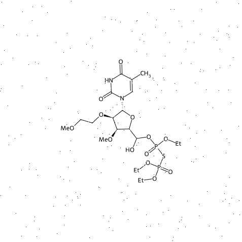 CCOP(=O)(OCC)SP(=O)(OCC)OC(O)C1O[C@@H](n2cc(C)c(=O)[nH]c2=O)[C@H](OCCOC)[C@@H]1OC